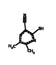 Cc1cc(C#N)c(S)nc1C